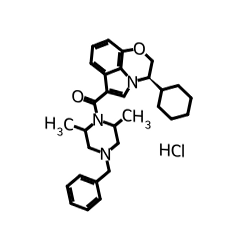 CC1CN(Cc2ccccc2)CC(C)N1C(=O)c1cn2c3c(cccc13)OC[C@H]2C1CCCCC1.Cl